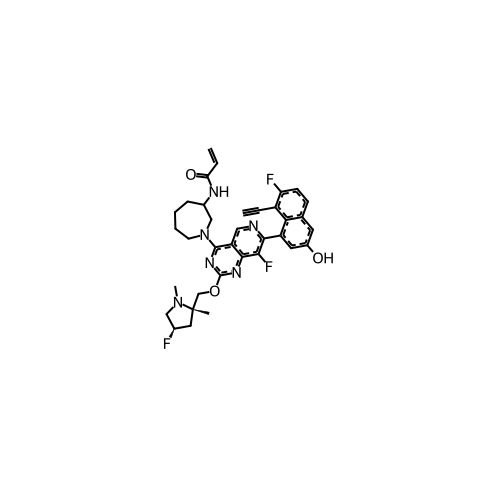 C#Cc1c(F)ccc2cc(O)cc(-c3ncc4c(N5CCCCC(NC(=O)C=C)C5)nc(OC[C@]5(C)C[C@@H](F)CN5C)nc4c3F)c12